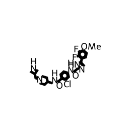 COc1ccc(-c2cnc(C(=O)Nc3ccc(C(=O)NCC4CCN(CC5CNC5)CC4)c(Cl)c3)[nH]2)c(F)c1F